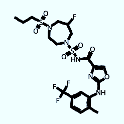 CCCS(=O)(=O)N1CCN(S(=O)(=O)NC(=O)c2coc(Nc3cc(C(F)(F)F)ccc3C)n2)CC(F)C1